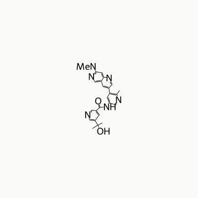 CNc1cc2ncc(-c3cc(NC(=O)c4cncc(C(C)(C)O)c4)cnc3C)cc2cn1